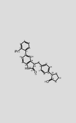 CC(C)c1ccccc1-c1ncc2[nH]c(=O)n(Cc3ccc(N4CCCC4=O)cc3)c2n1